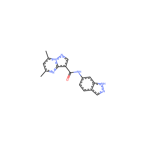 Cc1cc(C)n2ncc(C(=O)Nc3ccc4cn[nH]c4c3)c2n1